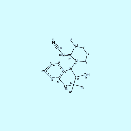 CN1CCCN(C2c3ccccc3OC(C)(C)C2O)C1=NC#N